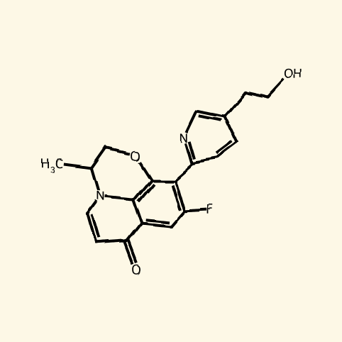 CC1COc2c(-c3ccc(CCO)cn3)c(F)cc3c(=O)ccn1c23